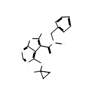 CCN(Cc1ccccc1)C(=O)c1c(C)oc2ncnc(NC3(C)CC3)c12